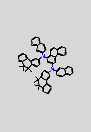 CC1(C)c2ccccc2-c2cc(N(c3ccc4ccccc4c3)c3cc(N(c4ccc5c(c4)-c4ccccc4C(C)(C)C5(C)C)c4ccc5ccccc5c4)c4ccc5ccccc5c4c3)ccc2C1(C)C